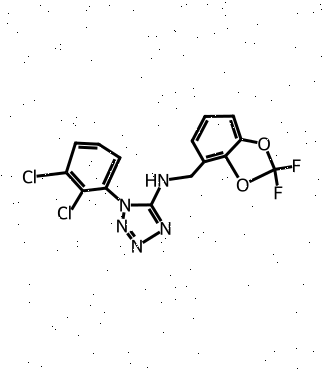 FC1(F)Oc2cccc(CNc3nnnn3-c3cccc(Cl)c3Cl)c2O1